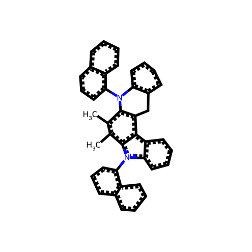 Cc1c2c(c3c4ccccc4n(-c4cccc5ccccc45)c3c1C)Cc1ccccc1N2c1cccc2ccccc12